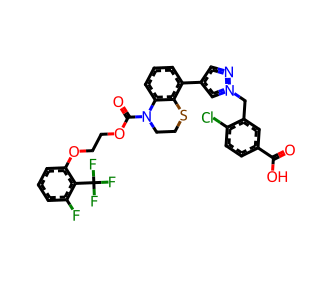 O=C(O)c1ccc(Cl)c(Cn2cc(-c3cccc4c3SCCN4C(=O)OCCOc3cccc(F)c3C(F)(F)F)cn2)c1